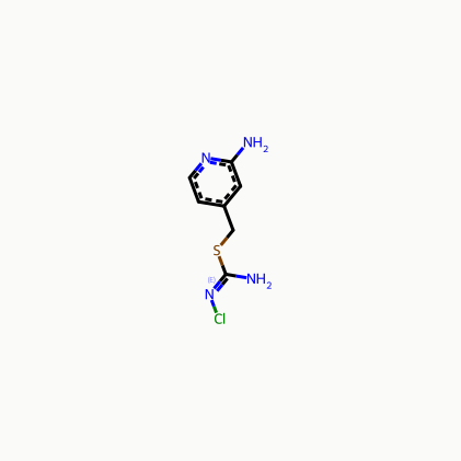 N/C(=N\Cl)SCc1ccnc(N)c1